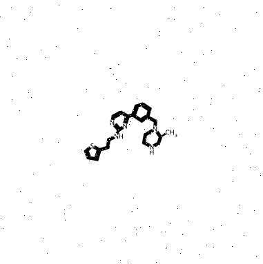 C[C@H]1CNCCN1Cc1cccc(-c2ccnc(NCCc3cccs3)n2)c1